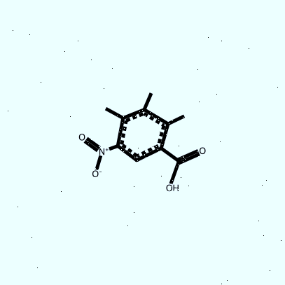 Cc1c(C(=O)O)cc([N+](=O)[O-])c(C)c1C